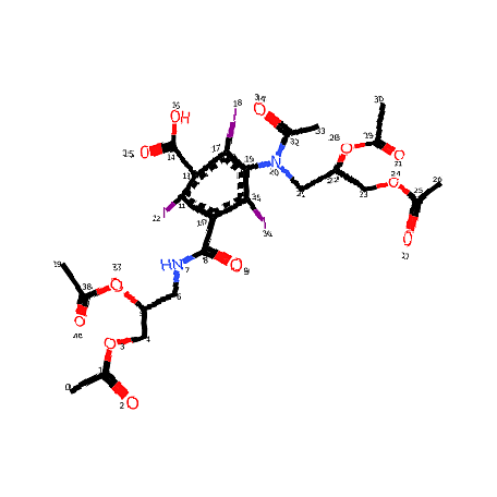 CC(=O)OCC(CNC(=O)c1c(I)c(C(=O)O)c(I)c(N(CC(COC(C)=O)OC(C)=O)C(C)=O)c1I)OC(C)=O